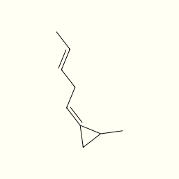 CC=CCC=C1CC1C